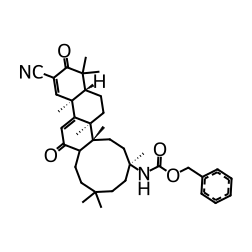 CC1(C)CCC2C(=O)C=C3[C@@]4(C)C=C(C#N)C(=O)C(C)(C)[C@@H]4CC[C@@]3(C)[C@]2(C)CC[C@@](C)(NC(=O)OCc2ccccc2)CC1